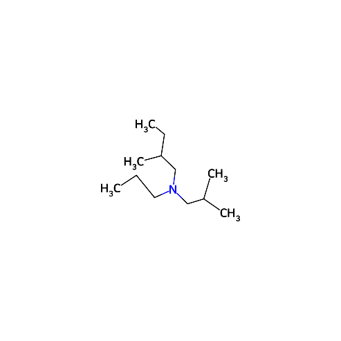 CCCN(CC(C)C)CC(C)CC